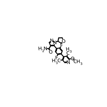 COc1ncc(C)c(-c2cc(F)c(-c3c(C(N)=O)cnn3C3CCOC3)cc2F)c1C